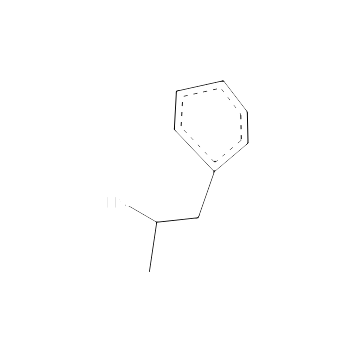 [CH2]C(S)Cc1ccccc1